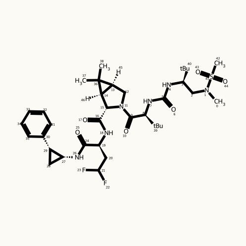 CN(C[C@@H](NC(=O)N[C@H](C(=O)N1C[C@H]2[C@@H]([C@H]1C(=O)N[C@@H](CC(F)F)C(=O)N[C@@H]1C[C@@H]1c1ccccc1)C2(C)C)C(C)(C)C)C(C)(C)C)S(C)(=O)=O